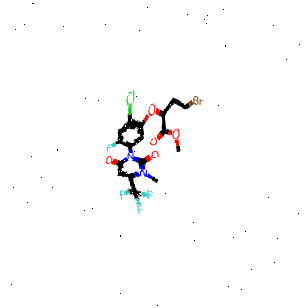 COC(=O)C(CCBr)Oc1cc(-n2c(=O)cc(C(F)(F)F)n(C)c2=O)c(F)cc1Cl